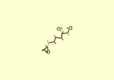 ClC[C@@H](Cl)CCCC[C@H]1CO1